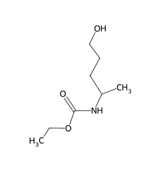 CCOC(=O)NC(C)CCCO